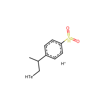 CC(C[TeH])c1ccc([SH](=O)=O)cc1.[H+]